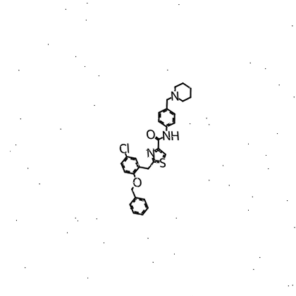 O=C(Nc1ccc(CN2CCCCC2)cc1)c1csc(Cc2cc(Cl)ccc2OCc2ccccc2)n1